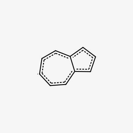 [c]1ccc2cccc-2cc1